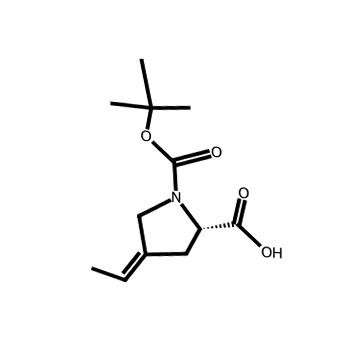 C/C=C1/C[C@@H](C(=O)O)N(C(=O)OC(C)(C)C)C1